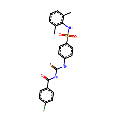 Cc1cccc(C)c1NS(=O)(=O)c1ccc(NC(=S)NC(=O)c2ccc(F)cc2)cc1